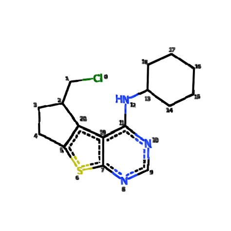 ClCC1CCc2sc3ncnc(NC4CCCCC4)c3c21